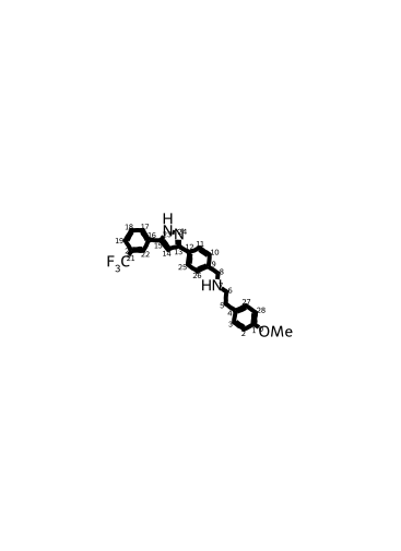 COc1ccc(CCNCc2ccc(-c3cc(-c4cccc(C(F)(F)F)c4)[nH]n3)cc2)cc1